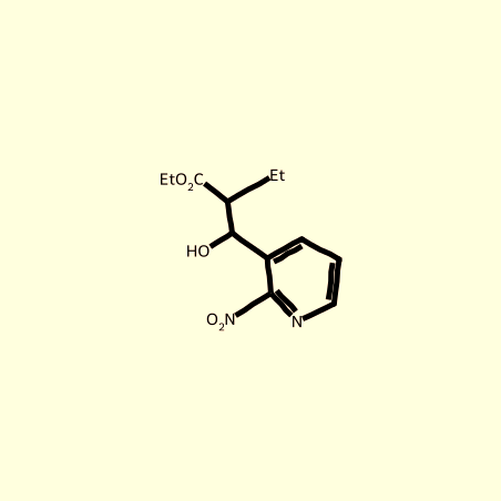 CCOC(=O)C(CC)C(O)c1cccnc1[N+](=O)[O-]